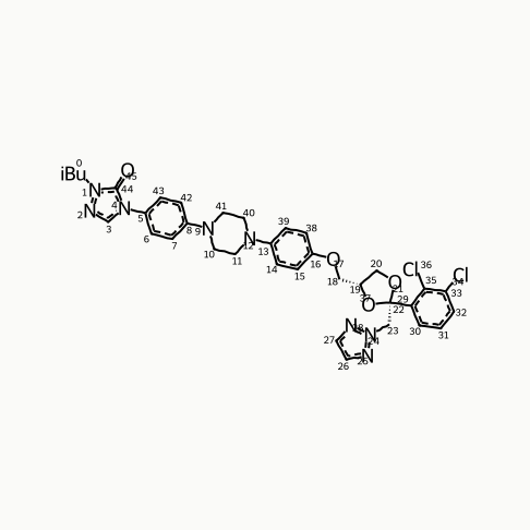 CCC(C)n1ncn(-c2ccc(N3CCN(c4ccc(OC[C@@H]5CO[C@@](Cn6nccn6)(c6cccc(Cl)c6Cl)O5)cc4)CC3)cc2)c1=O